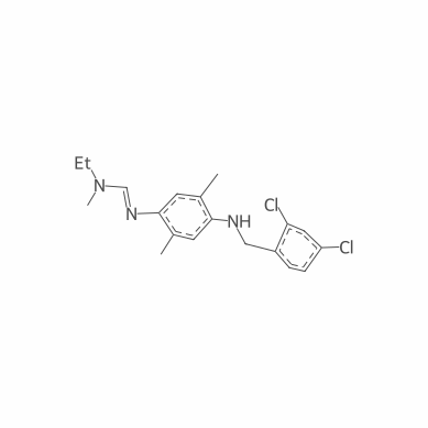 CCN(C)C=Nc1cc(C)c(NCc2ccc(Cl)cc2Cl)cc1C